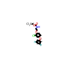 O=C(NCCOc1ccc(Oc2cc(F)cc(F)c2)cc1Cl)OCC(Cl)(Cl)Cl